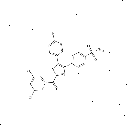 NS(=O)(=O)c1ccc(-c2nc(C(=O)c3cc(Cl)cc(Cl)c3)sc2-c2ccc(F)cc2)cc1